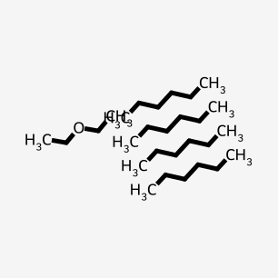 CCCCCC.CCCCCC.CCCCCC.CCCCCC.CCOCC